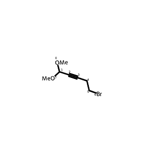 COC(C#CCCBr)OC